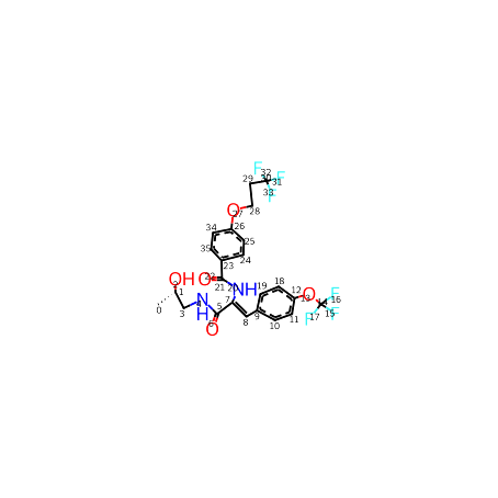 C[C@H](O)CNC(=O)C(=Cc1ccc(OC(F)(F)F)cc1)NC(=O)c1ccc(OCCC(F)(F)F)cc1